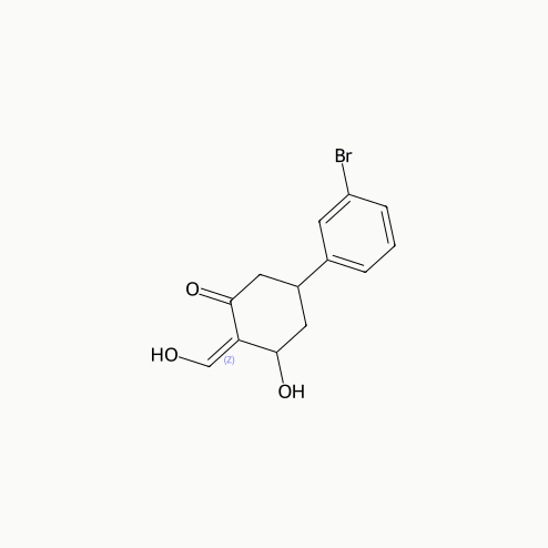 O=C1CC(c2cccc(Br)c2)CC(O)/C1=C/O